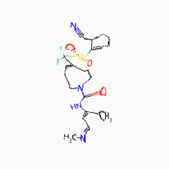 C/N=C\C=C(/C)NC(=O)N1CCC(C(F)(F)S(=O)(=O)c2ccccc2C#N)CC1